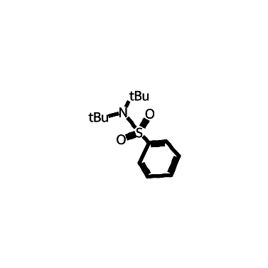 CC(C)(C)N(C(C)(C)C)S(=O)(=O)c1ccccc1